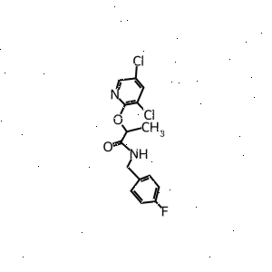 CC(Oc1ncc(Cl)cc1Cl)C(=O)NCc1ccc(F)cc1